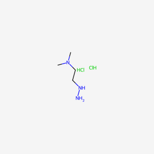 CN(C)CCNN.Cl.Cl